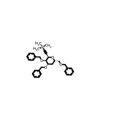 C[Si](C)(C)C#C[C@H]1O[C@H](COCc2ccccc2)C[C@H](OCc2ccccc2)[C@H]1OCc1ccccc1